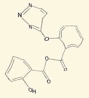 O=C(OC(=O)c1ccccc1Oc1ccnnn1)c1ccccc1O